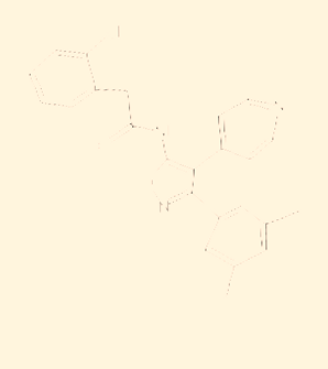 Cc1cc(C)cc(-c2noc(NC(=O)Cc3ccccc3Cl)c2-c2ccncc2)c1